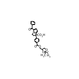 CC1(C)OCC(COC(=O)c2ccc(C3(C(=O)O)CCn4c(C(=O)c5ccccc5)ccc43)cc2)O1